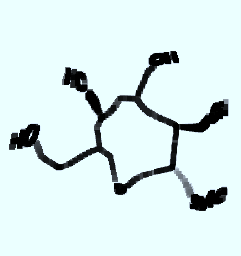 CS[C@@H]1OC(CO)[C@@H](O)C(O)[C@H]1O